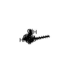 CCCCCCCCCCCCCCOC(=O)c1ccc(OC)c(Nc2[nH]n(-c3ccc(NC(C)=O)cc3)c(=O)c2N2C(=O)NC(C)(C)C2=O)c1